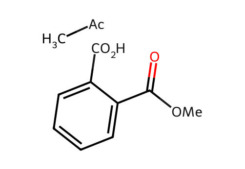 CC(C)=O.COC(=O)c1ccccc1C(=O)O